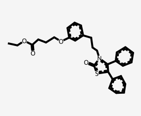 CCOC(=O)CCCOc1cccc(CCCn2c(-c3ccccc3)c(-c3ccccc3)sc2=O)c1